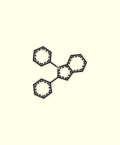 c1ccc(-c2cc3ccccc3n2-c2ccccc2)cc1